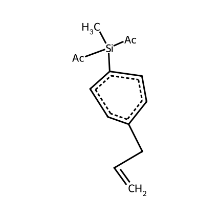 C=CCc1ccc([Si](C)(C(C)=O)C(C)=O)cc1